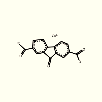 O=C([O-])c1ccc2c(c1)C(=O)c1cc(C(=O)[O-])ccc1-2.[Ca+2]